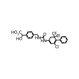 O=C(NCc1ccc(C(O)C(=O)O)cc1)NC1=CC(Cl)=C(c2ccccc2)C(Cl)(C(F)(F)F)C1